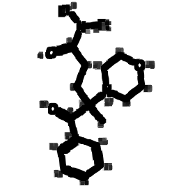 CCN(CC)C(=O)CCC(C)(C(=O)c1ccccc1)N1CCOCC1